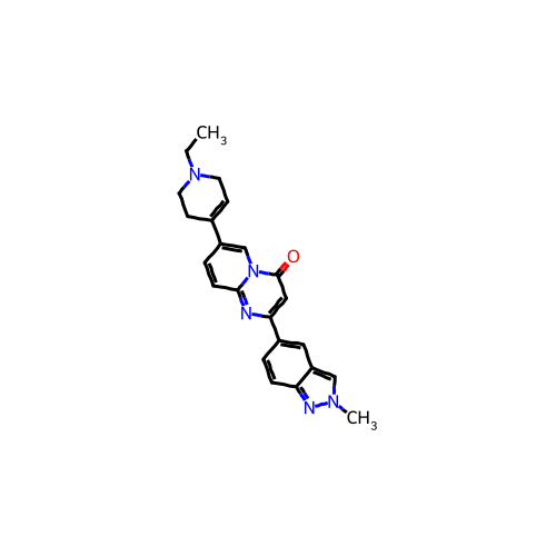 CCN1CC=C(c2ccc3nc(-c4ccc5nn(C)cc5c4)cc(=O)n3c2)CC1